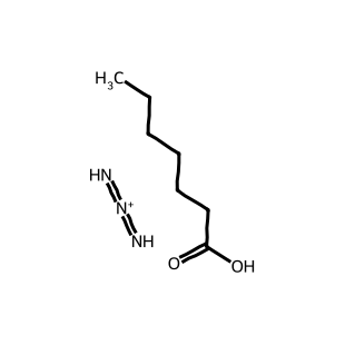 CCCCCCC(=O)O.N=[N+]=N